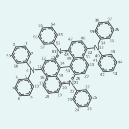 c1ccc(N(c2ccccc2)c2cc3c4c5c2cccc5n(-c2ccccc2)c2ccc5c(N(c6ccccc6)c6ccccc6)ccc(c5c2-4)n3-c2ccccc2)cc1